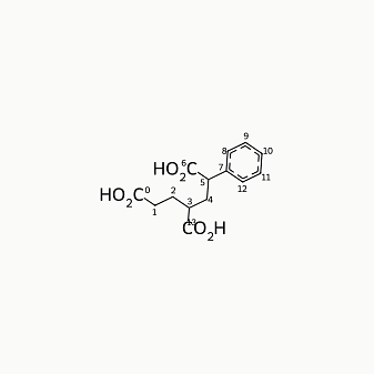 O=C(O)CCC(CC(C(=O)O)c1ccccc1)C(=O)O